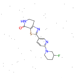 O=C1NCCc2nc(-c3ccc(N4CCCC(F)C4)nc3)sc21